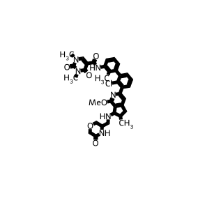 COc1nc(-c2cccc(-c3cccc(NC(=O)c4cn(C)c(=O)n(C)c4=O)c3C)c2Cl)cc2c1C(NCC1COCC(=O)N1)C(C)C2